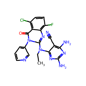 CCN(c1nc(N)nc(N)c1C#N)c1nc2c(F)ccc(Cl)c2c(=O)n1-c1cccnc1